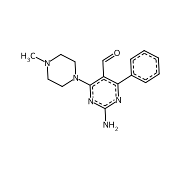 CN1CCN(c2nc(N)nc(-c3ccccc3)c2C=O)CC1